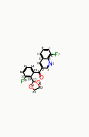 O=C(c1cnc2c(F)cccc2c1)c1cccc(F)c1C1OCCO1